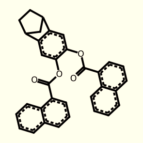 O=C(Oc1cc2c(cc1OC(=O)c1cccc3ccccc13)C1CCC2C1)c1cccc2ccccc12